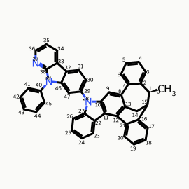 C[C@@H]1c2ccccc2-c2cc3c(c4c2CC1c1ccccc1-4)c1ccccc1n3-c1ccc2c3cccnc3n(-c3ccccc3)c2c1